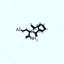 C=C(N)C(CCC(C)=O)n1c(=C)c2ccccc2c1=C